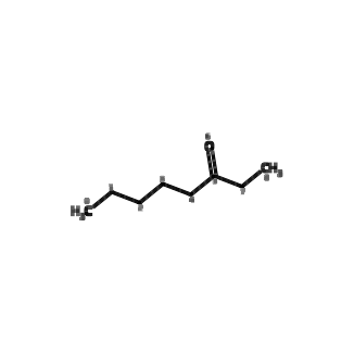 CCCCCC(=O)CC